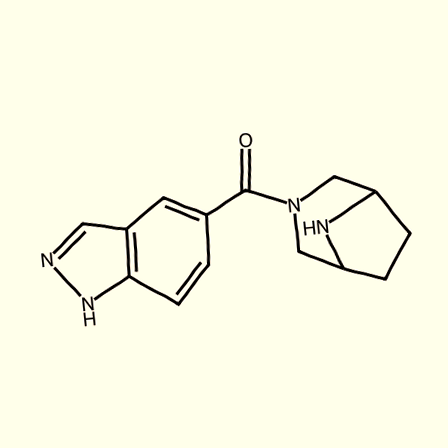 O=C(c1ccc2[nH]ncc2c1)N1CC2CCC(C1)N2